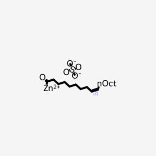 CCCCCCCC/C=C\CCCCCCC[C](=O)[Zn+2].O=S(=O)([O-])[O-]